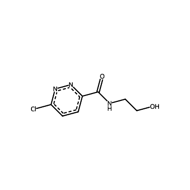 O=C(NCCO)c1ccc(Cl)nn1